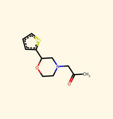 CC(=O)CN1CCOC(c2cccs2)C1